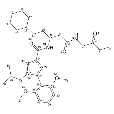 CCC(=O)CNC(=O)CC(CCC1CCCCC1)NC(=O)c1cc(-c2c(OC)cccc2OC)n(CC(C)C)n1